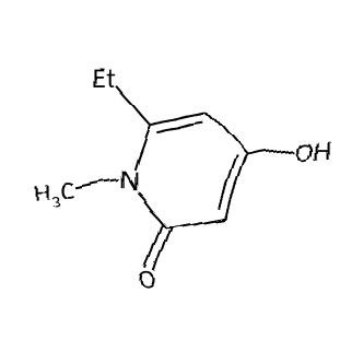 CCc1cc(O)cc(=O)n1C